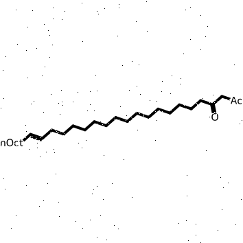 CCCCCCCC/C=C/CCCCCCCCCCCCCCCC(=O)CC(C)=O